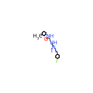 Cc1cccc(NC(=O)CCNCCN(CI)C/C=C/c2ccc(F)cc2)c1